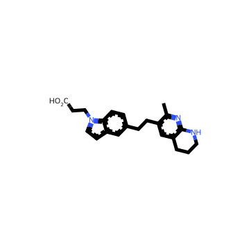 Cc1nc2c(cc1CCc1ccc3c(ccn3CCC(=O)O)c1)CCCN2